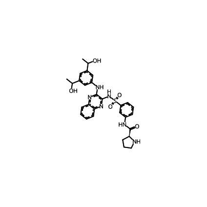 CC(O)c1cc(Nc2nc3ccccc3nc2NS(=O)(=O)c2cccc(NC(=O)[C@@H]3CCCN3)c2)cc(C(C)O)c1